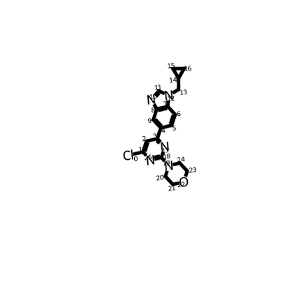 Clc1cc(-c2ccc3c(c2)ncn3CC2CC2)nc(N2CCOCC2)n1